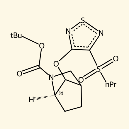 CCCS(=O)(=O)c1nsnc1OC1C2CC[C@H]1N(C(=O)OC(C)(C)C)C2